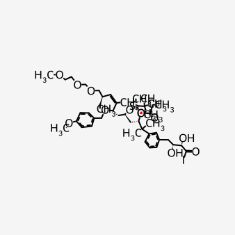 CCC(=O)O[C@@H](C[C@@H](C[C@H](OCc1ccc(OC)cc1)/C(C)=C\[C@@H](CC)COCOCCOC)O[Si](C)(C)C(C)(C)C)C(C)(C)c1cccc(C[C@@H](O)[C@H](O)C(=O)I)c1